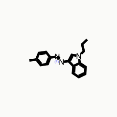 CCCn1cc(/N=N/c2ccc(C)cc2)c2ccccc21